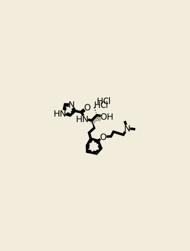 C[C@H](O)[C@@H](CCc1ccccc1OCCCN(C)C)NC(=O)c1c[nH]cn1.Cl.Cl